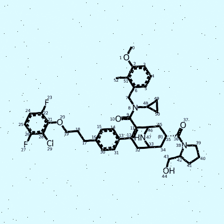 COc1cccc(CN(C(=O)C2=C(c3ccc(CCCOc4c(F)ccc(F)c4Cl)cc3)CC3C[C@@H](C(=O)N4CCCC4CO)CC2N3)C2CC2)c1C